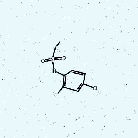 CCS(=O)(=O)Nc1ccc(Cl)cc1Cl